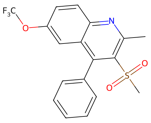 Cc1nc2ccc(OC(F)(F)F)cc2c(-c2ccccc2)c1S(C)(=O)=O